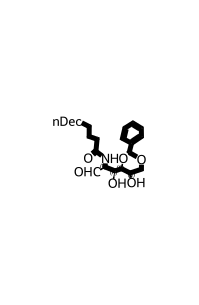 CCCCCCCCCCCCCC(=O)N[C@@H](C=O)[C@@H](O)[C@@H]1OC(c2ccccc2)OC[C@H]1O